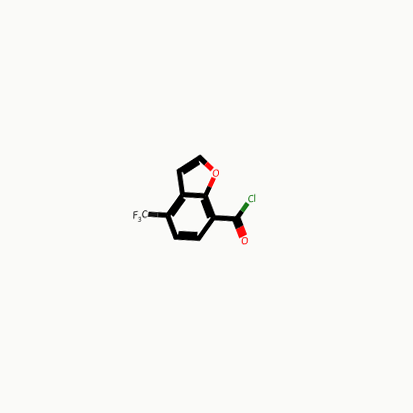 O=C(Cl)c1ccc(C(F)(F)F)c2ccoc12